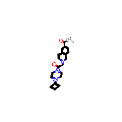 CC(=O)c1ccc2c(c1)CCN(CC(=O)N1CCN(C3CCC3)CC1)C2